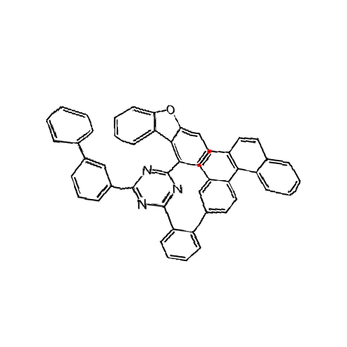 c1ccc(-c2cccc(-c3nc(-c4ccccc4-c4ccc5c(ccc6ccc7ccccc7c65)c4)nc(-c4cccc5oc6ccccc6c45)n3)c2)cc1